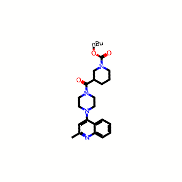 CCCCOC(=O)N1CCCC(C(=O)N2CCN(c3cc(C)nc4ccccc34)CC2)C1